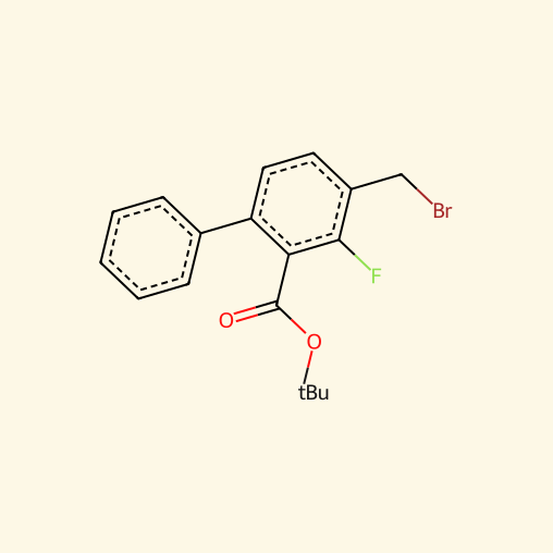 CC(C)(C)OC(=O)c1c(-c2ccccc2)ccc(CBr)c1F